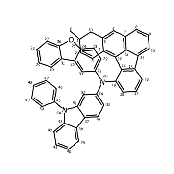 CC1C=Cc2c(cc3cccc4c3c2-c2c-4cccc2N(c2ccc3oc4ccccc4c3c2)c2ccc3c4ccccc4n(-c4ccccc4)c3c2)C1